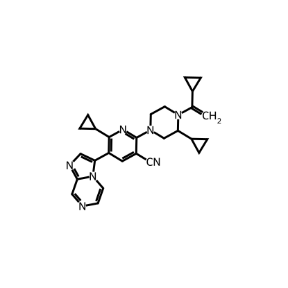 C=C(C1CC1)N1CCN(c2nc(C3CC3)c(-c3cnc4cnccn34)cc2C#N)CC1C1CC1